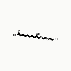 O=C(O)CCCCCCCC(O)COCCOCCO